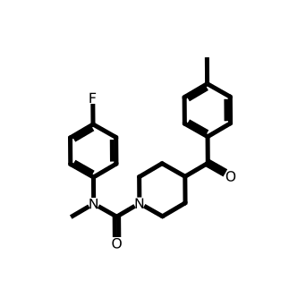 Cc1ccc(C(=O)C2CCN(C(=O)N(C)c3ccc(F)cc3)CC2)cc1